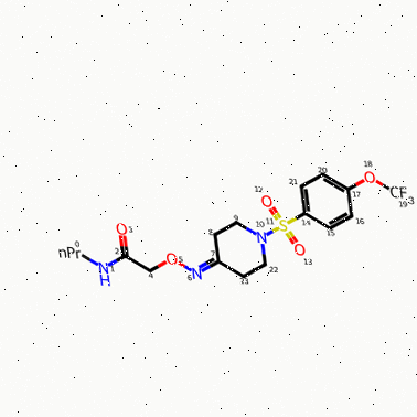 CCCNC(=O)CON=C1CCN(S(=O)(=O)c2ccc(OC(F)(F)F)cc2)CC1